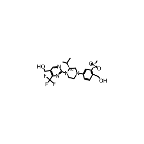 CC(C)[C@H]1CN(c2ccc(CO)c(S(C)(=O)=O)c2)CCN1c1ncc(CO)c(C(F)(F)F)n1